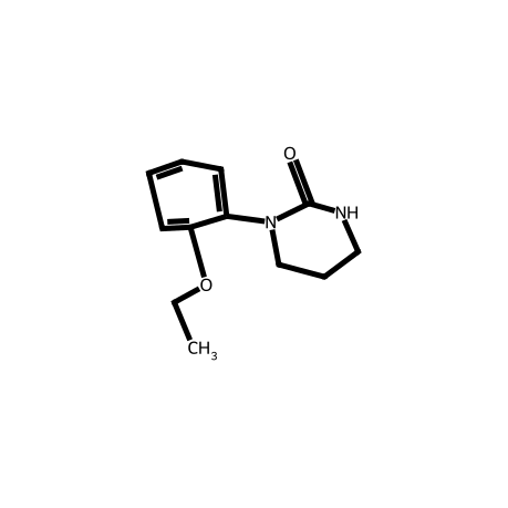 CCOc1ccccc1N1CCCNC1=O